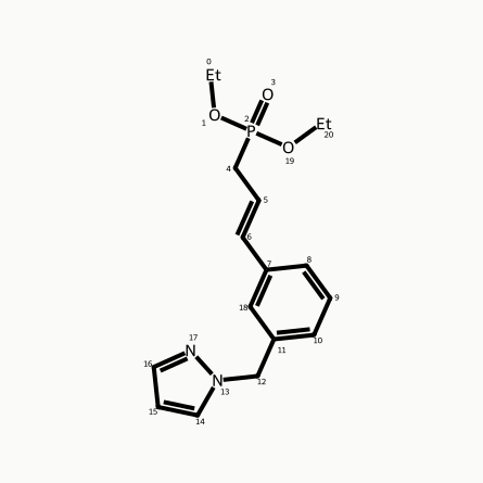 CCOP(=O)(CC=Cc1cccc(Cn2cccn2)c1)OCC